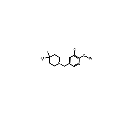 CC(C)Oc1ncc(CN2CCC(C)(F)CC2)cc1Cl